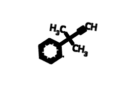 C#CC(C)(C)c1[c]cccc1